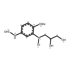 CCN(CC(O)CO)c1cc(NC=O)ccc1OC